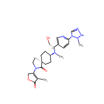 CC1=C(N2CC[C@]3(CC[C@H](N(C)[C@H](CO)c4ccc(N5C=NNN5C)nc4)CC3)C2=O)COC1=O